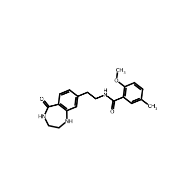 COc1ccc(C)cc1C(=O)NCCc1ccc2c(c1)NCCNC2=O